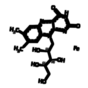 Cc1cc2nc3c(=O)[nH]c(=O)nc-3n(C[C@H](O)[C@H](O)[C@H](O)CO)c2cc1C.[Fe]